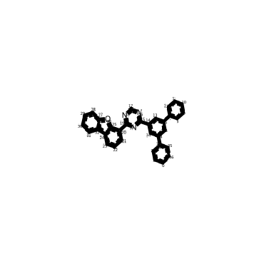 c1ccc(-c2cc(-c3ccccc3)cc(-c3ncnc(-c4cccc5c4oc4ccccc45)n3)c2)cc1